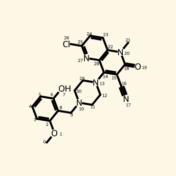 COc1cccc(O)c1CN1CCN(c2c(C#N)c(=O)n(C)c3ccc(Cl)nc23)CC1